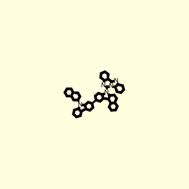 c1ccc2cc(-n3c4ccccc4c4ccc(-c5ccc6c(c5)c5c7ccccc7ccc5n6-c5nc6ccccc6c6nc7ccccc7n56)cc43)ccc2c1